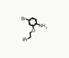 CC(C)CCOc1cc(Br)ccc1N